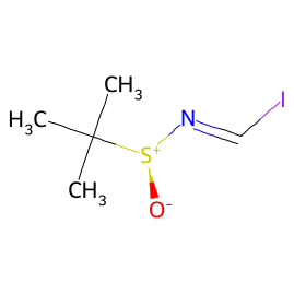 CC(C)(C)[S@+]([O-])/N=C/I